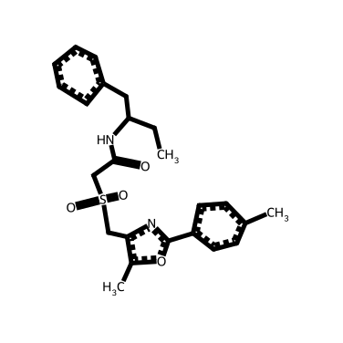 CCC(Cc1ccccc1)NC(=O)CS(=O)(=O)Cc1nc(-c2ccc(C)cc2)oc1C